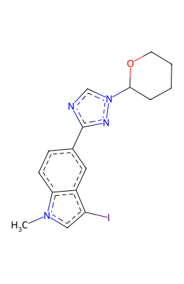 Cn1cc(I)c2cc(-c3ncn(C4CCCCO4)n3)ccc21